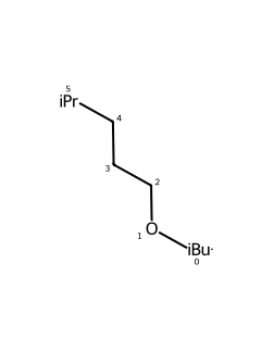 CC[C](C)OCCCC(C)C